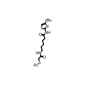 CC(=O)SCC(=O)NCCCCCC(=O)Nc1nc(C(C)(C)C)cs1